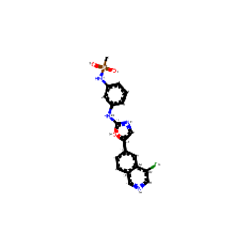 CS(=O)(=O)Nc1cccc(Nc2ncc(-c3ccc4cncc(F)c4c3)o2)c1